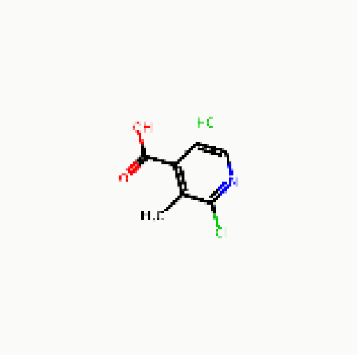 Cc1c(C(=O)O)ccnc1Cl.Cl